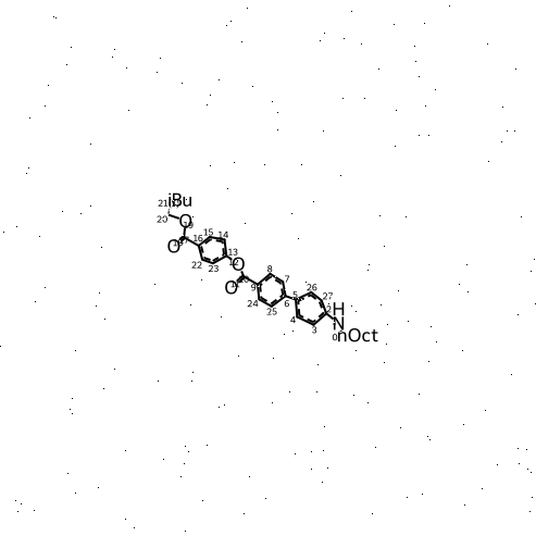 CCCCCCCCNc1ccc(-c2ccc(C(=O)Oc3ccc(C(=O)OC[C@@H](C)CC)cc3)cc2)cc1